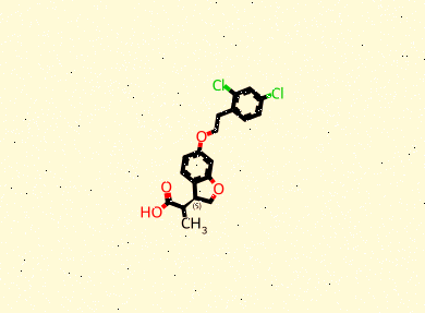 CC(C(=O)O)[C@@H]1COc2cc(OCCc3ccc(Cl)cc3Cl)ccc21